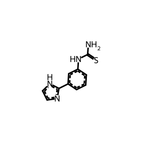 NC(=S)Nc1cccc(-c2ncc[nH]2)c1